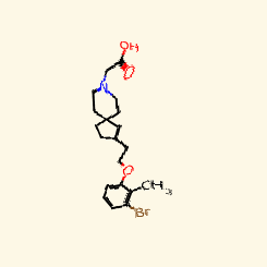 Cc1c(Br)cccc1OCCC1CCC2(CCN(CC(=O)O)CC2)C1